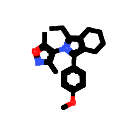 CCc1c2c(c(-c3ccc(OC)cc3)n1-c1c(C)noc1C)CCCC2